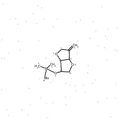 C=C1COC2C(O[Si](C)(C)C(C)(C)C)COC12